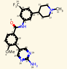 COc1ccc(C(=O)Nc2cc(C3CCN(C)CC3)cc(C(F)(F)F)c2)cc1-c1cnc(N)nc1